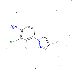 Nc1ccc(-n2cc(F)cn2)c(F)c1Br